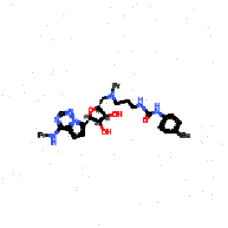 CC(C)Nc1ncnn2c([C@@H]3O[C@H](CN(CCCNC(=O)Nc4ccc(C(C)(C)C)cc4)C(C)C)[C@@H](O)[C@H]3O)ccc12